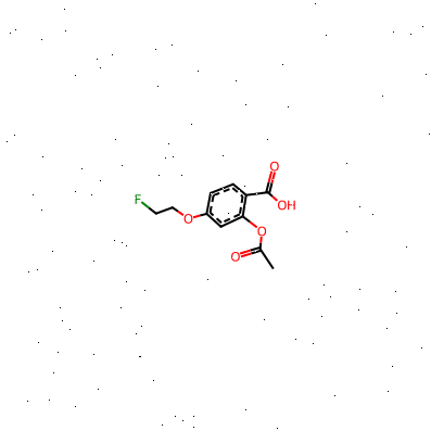 CC(=O)Oc1cc(OCCF)ccc1C(=O)O